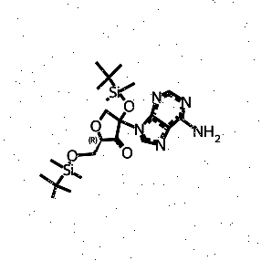 CC(C)(C)[Si](C)(C)OC[C@H]1OCC(O[Si](C)(C)C(C)(C)C)(n2cnc3c(N)ncnc32)C1=O